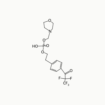 O=C(c1ccc(CCOP(=O)(O)OCN2CCOCC2)cc1)C(F)(F)C(F)(F)F